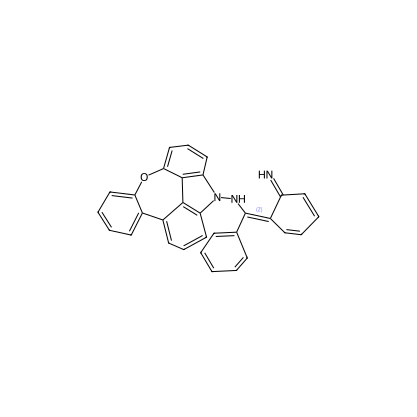 N=C1C=CC=C/C1=C(/Nn1c2cccc3oc4ccccc4c4cccc1c4c32)c1ccccc1